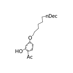 CCCCCCCCCCCCCCCCOc1ccc(C(C)=O)c(O)c1